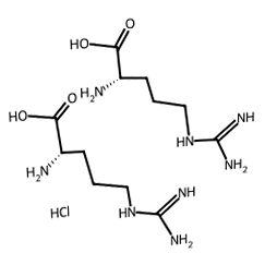 Cl.N=C(N)NCCC[C@H](N)C(=O)O.N=C(N)NCCC[C@H](N)C(=O)O